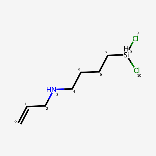 C=CCNCCCC[SiH](Cl)Cl